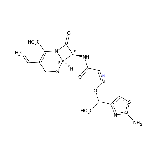 C=CC1=C(C(=O)O)N2C(=O)[C@@H](NC(=O)/C=N\OC(C(=O)O)c3csc(N)n3)[C@H]2SC1